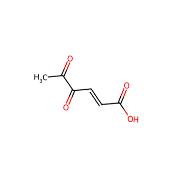 CC(=O)C(=O)/C=C/C(=O)O